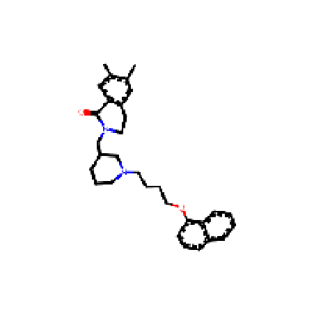 Cc1cc2c(cc1C)C(=O)N(CC1CCCN(CCCCOc3cccc4ccccc34)C1)CC2